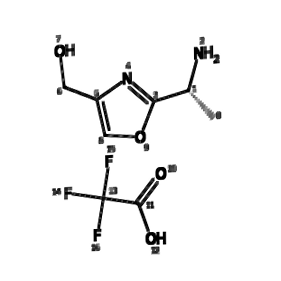 C[C@@H](N)c1nc(CO)co1.O=C(O)C(F)(F)F